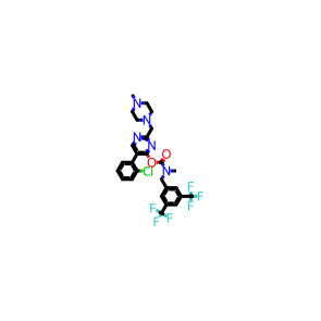 CN1CCN(Cc2ncc(-c3ccccc3Cl)c(OC(=O)N(C)Cc3cc(C(F)(F)F)cc(C(F)(F)F)c3)n2)CC1